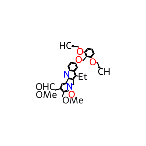 C#CCOc1cccc(OCC#C)c1COc1ccc2nc3c(c(CC)c2c1)Cn1c-3cc(C(C=O)OC)c(COC)c1=O